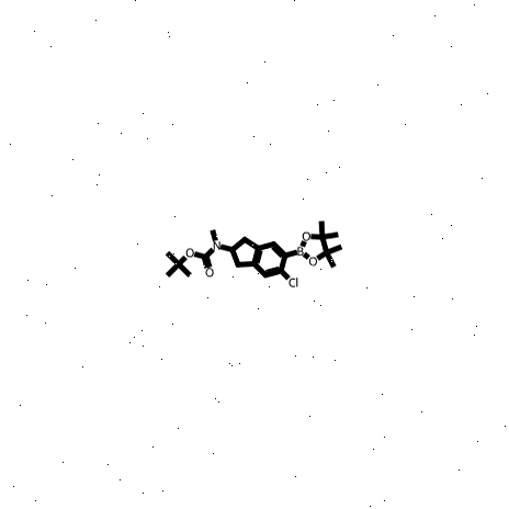 CN(C(=O)OC(C)(C)C)C1Cc2cc(Cl)c(B3OC(C)(C)C(C)(C)O3)cc2C1